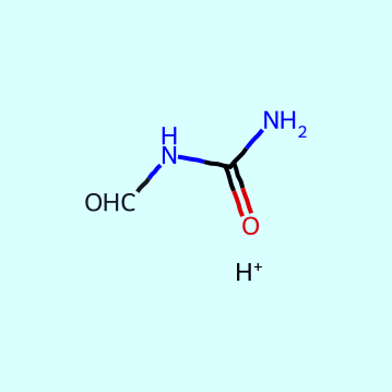 NC(=O)NC=O.[H+]